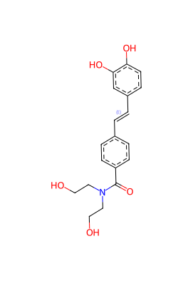 O=C(c1ccc(/C=C/c2ccc(O)c(O)c2)cc1)N(CCO)CCO